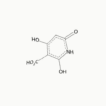 O=C(O)c1c(O)cc(=O)[nH]c1O